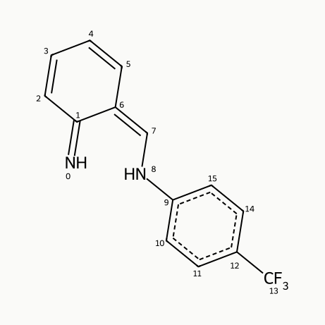 N=C1C=CC=C/C1=C/Nc1ccc(C(F)(F)F)cc1